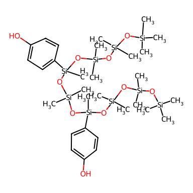 C[Si](C)(C)O[Si](C)(C)O[Si](C)(C)O[Si](C)(O[Si](C)(C)O[Si](C)(O[Si](C)(C)O[Si](C)(C)O[Si](C)(C)C)c1ccc(O)cc1)c1ccc(O)cc1